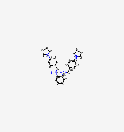 c1ccc(NCc2ccc(N3CCCC3)cc2)c(NCc2ccc(N3CCCC3)cc2)c1